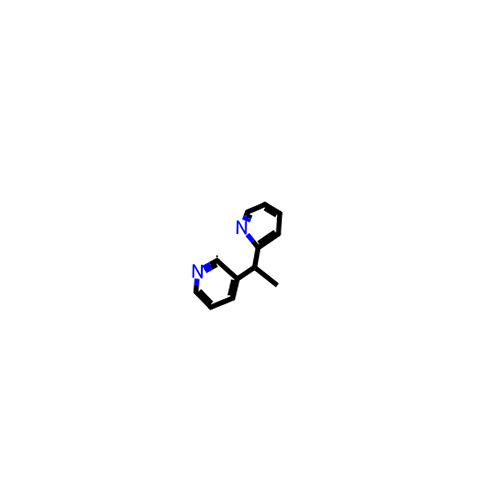 CC(c1[c]nccc1)c1ccccn1